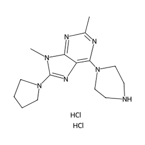 Cc1nc(N2CCNCC2)c2nc(N3CCCC3)n(C)c2n1.Cl.Cl